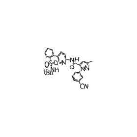 Cc1cc(C(=O)Nc2ccc(-c3ccccc3S(=O)(=O)NC(C)(C)C)cn2)n(-c2cccc(C#N)c2)n1